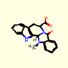 CN1c2ccccc2C(=O)N2C(C(=O)O)Cc3c([nH]c4ccccc34)[C@@H]12